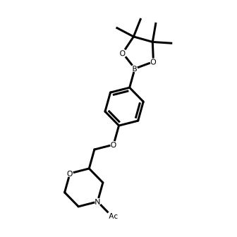 CC(=O)N1CCOC(COc2ccc(B3OC(C)(C)C(C)(C)O3)cc2)C1